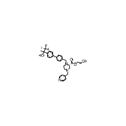 CC(O)(c1ccc(-c2ccc(CN3CCN(Cc4ccncc4)C[C@H]3C(=O)OCCO)cc2)cc1)C(F)(F)F